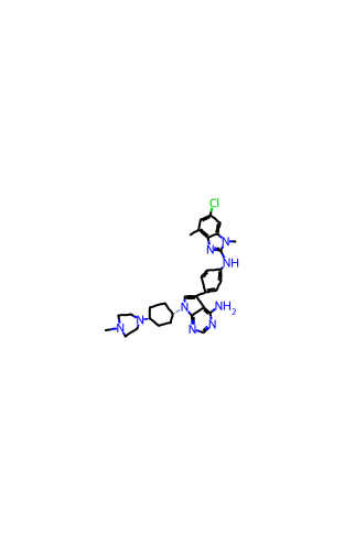 Cc1cc(Cl)cc2c1nc(Nc1ccc(-c3cn([C@H]4CC[C@H](N5CCN(C)CC5)CC4)c4ncnc(N)c34)cc1)n2C